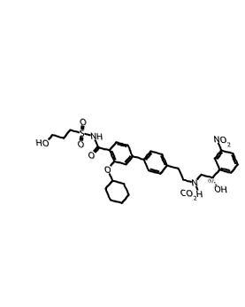 O=C(NS(=O)(=O)CCCO)c1ccc(-c2ccc(CCN(C[C@@H](O)c3cccc([N+](=O)[O-])c3)C(=O)O)cc2)cc1OC1CCCCC1